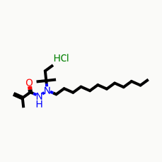 C=C(C)C(=O)NN(CCCCCCCCCCCC)C(C)(C)CC.Cl